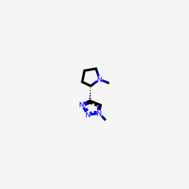 CN1CCC[C@H]1c1cn(C)nn1